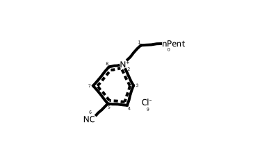 CCCCCC[n+]1ccc(C#N)cc1.[Cl-]